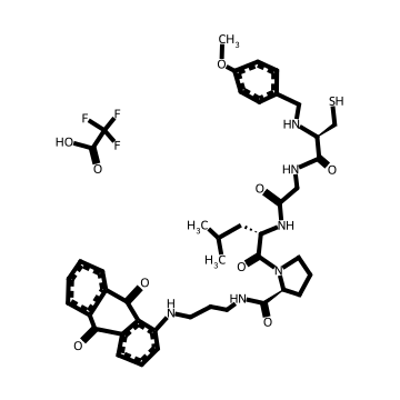 COc1ccc(CN[C@@H](CS)C(=O)NCC(=O)N[C@@H](CC(C)C)C(=O)N2CCC[C@H]2C(=O)NCCCNc2cccc3c2C(=O)c2ccccc2C3=O)cc1.O=C(O)C(F)(F)F